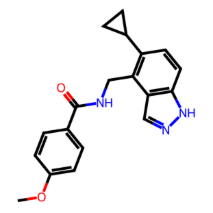 COc1ccc(C(=O)NCc2c(C3CC3)ccc3[nH]ncc23)cc1